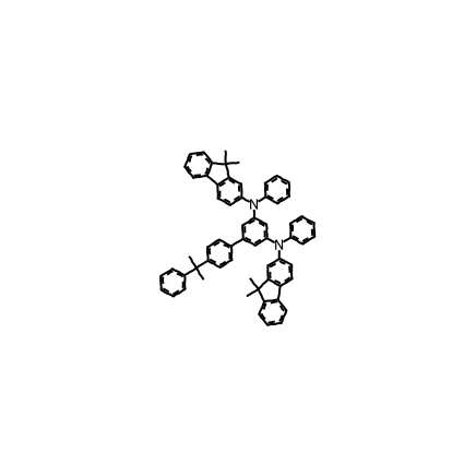 CC(C)(c1ccccc1)c1ccc(-c2cc(N(c3ccccc3)c3ccc4c(c3)C(C)(C)c3ccccc3-4)cc(N(c3ccccc3)c3ccc4c(c3)C(C)(C)c3ccccc3-4)c2)cc1